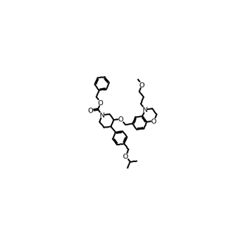 COCCCN1CCOc2ccc(COC3CN(C(=O)OCc4ccccc4)CCC3c3ccc(COC(C)C)cc3)cc21